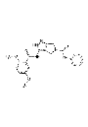 COc1ccc(OC)c(C(=O)Nc2[nH]nc3c2CN(C(=O)Nc2ccccc2)C3)c1